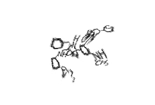 CCNc1cc(C(=O)N[C@@H](Cc2ccccc2)[C@H](O)CNCc2cccc(OC)c2)cc(N2CC(c3ccccc3)CCS2(=O)=O)c1